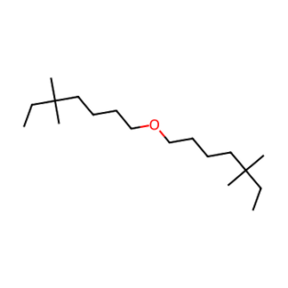 CCC(C)(C)CCCCOCCCCC(C)(C)CC